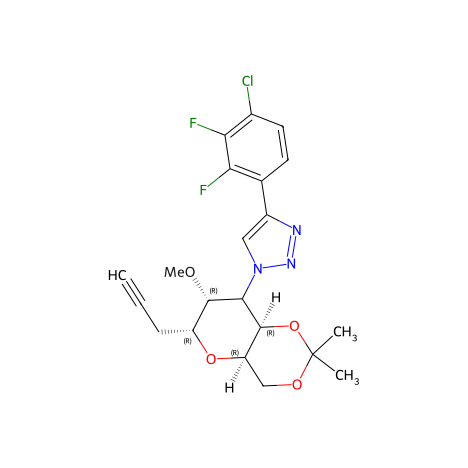 C#CC[C@H]1O[C@@H]2COC(C)(C)O[C@@H]2C(n2cc(-c3ccc(Cl)c(F)c3F)nn2)[C@H]1OC